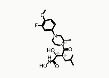 COc1ccc(N2CCN(C(=O)[C@@H](CC(C)C)[C@H](O)C(=O)NO)[C@H](C)C2)cc1F